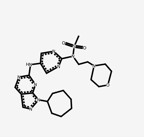 CS(=O)(=O)N(CCN1CCOCC1)c1ncc(Nc2ncc3cnn(C4CCCCCC4)c3n2)cn1